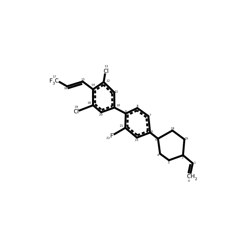 C=CC1CCC(c2ccc(-c3cc(Cl)c(/C=C/C(F)(F)F)c(Cl)c3)c(F)c2)CC1